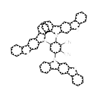 N#Cc1c(-n2c3ccccc3c3cc4c(cc32)sc2ccccc24)cc(-n2c3ccccc3c3cc4c(cc32)sc2ccccc24)c(-n2c3ccccc3c3cc4c(cc32)sc2ccccc24)c1C#N